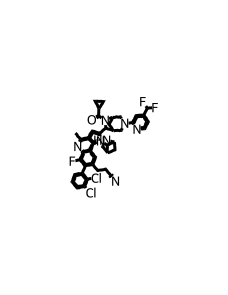 Cc1nc2c(F)c(-c3cccc(Cl)c3Cl)c(CCC#N)cc2c2c1cc(C1C3CC(CN(c4cc(C(F)F)ccn4)C3)N1C(=O)C1CC1)n2C1C2CNC1C2